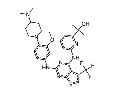 COc1cc(Nc2nc(Nc3cccc(C(C)(C)O)n3)c3c(C(F)(F)F)csc3n2)ccc1N1CCC(N(C)C)CC1